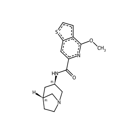 COc1nc(C(=O)N[C@@H]2C[C@H]3CCN(C3)C2)cc2sccc12